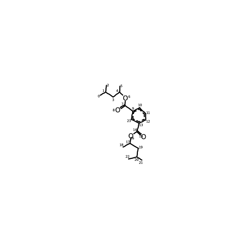 CC(C)CC(C)OC(=O)c1cccc(C(=O)OC(C)CC(C)C)c1